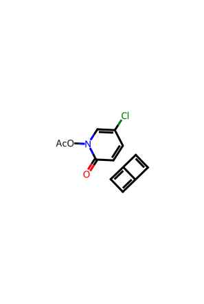 CC(=O)On1cc(Cl)ccc1=O.c1cc2ccc1-2